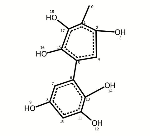 Cc1c(O)cc(-c2cc(O)cc(O)c2O)c(O)c1O